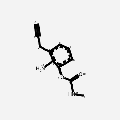 C#CCc1cccc(OC(=O)NC)c1N